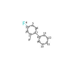 Cc1cc(F)ccc1-c1cc[c]cc1